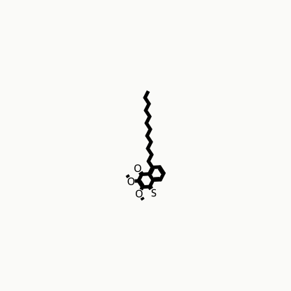 CCCCCCCCCCCCc1cccc2c1C(=O)C(OC)=C(OC)C2=S